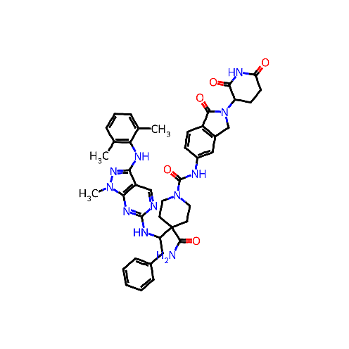 Cc1cccc(C)c1Nc1nn(C)c2nc(NC(Cc3ccccc3)C3(C(N)=O)CCN(C(=O)Nc4ccc5c(c4)CN(C4CCC(=O)NC4=O)C5=O)CC3)ncc12